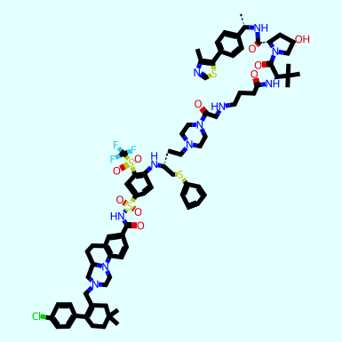 Cc1ncsc1-c1ccc([C@H](C)NC(=O)[C@@H]2C[C@@H](O)CN2C(=O)[C@@H](NC(=O)CCCNCC(=O)N2CCN(CC[C@H](CSc3ccccc3)Nc3ccc(S(=O)(=O)NC(=O)c4ccc5c(c4)CCC4CN(CC6=C(c7ccc(Cl)cc7)CCC(C)(C)C6)CCN54)cc3S(=O)(=O)C(F)(F)F)CC2)C(C)(C)C)cc1